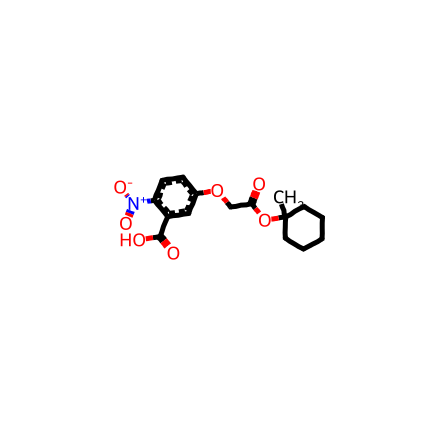 CC1(OC(=O)COc2ccc([N+](=O)[O-])c(C(=O)O)c2)CCCCC1